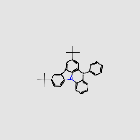 CC(C)(C)c1ccc2c(c1)c1cc(C(C)(C)C)cc3c1n2-c1ccccc1B3c1ccccc1